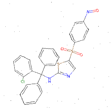 O=Nc1ccc(S(=O)(=O)c2cnc(NC(c3ccccc3)(c3ccccc3)c3ccccc3Cl)s2)cc1